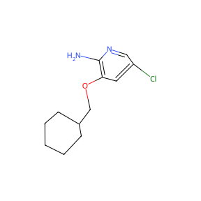 Nc1ncc(Cl)cc1OCC1CCCCC1